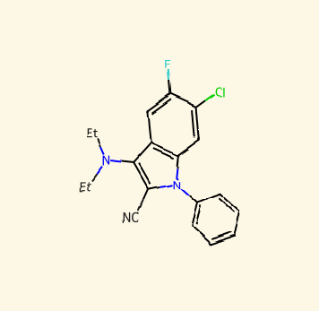 CCN(CC)c1c(C#N)n(-c2ccccc2)c2cc(Cl)c(F)cc12